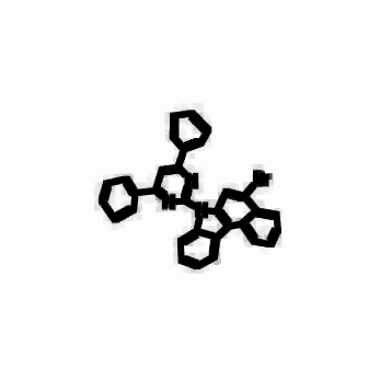 Brc1cc2c(c3ccccc13)c1ccccc1n2-c1nc(-c2ccccc2)cc(-c2ccccc2)n1